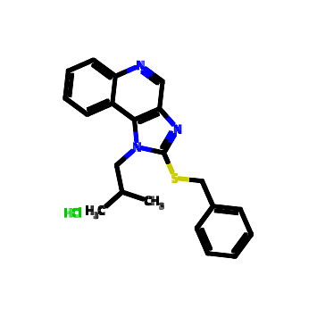 CC(C)Cn1c(SCc2ccccc2)nc2cnc3ccccc3c21.Cl